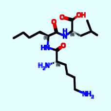 CCCC[C@H](NC(=O)[C@@H](N)CCCCN)C(=O)N[C@@H](CC(C)C)C(=O)O